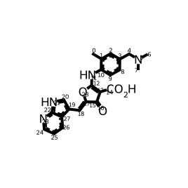 Cc1cc(CN(C)C)ccc1NC1=C(C(=O)O)C(=O)C(=Cc2c[nH]c3ncccc23)O1